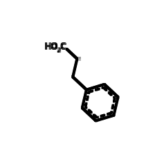 O=C(O)[C]Cc1ccccc1